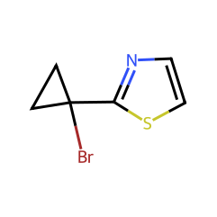 BrC1(c2nccs2)CC1